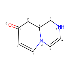 O=C1C=CN2C=CNCC2C1